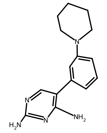 Nc1ncc(-c2cccc(N3CCCCC3)c2)c(N)n1